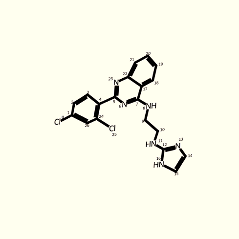 Clc1ccc(-c2nc(NCCNc3ncc[nH]3)c3ccccc3n2)c(Cl)c1